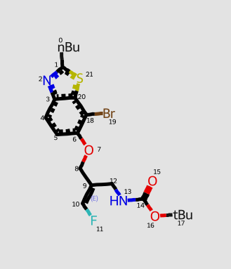 CCCCc1nc2ccc(OC/C(=C/F)CNC(=O)OC(C)(C)C)c(Br)c2s1